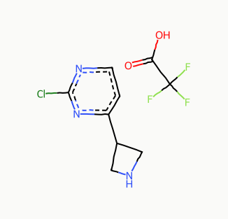 Clc1nccc(C2CNC2)n1.O=C(O)C(F)(F)F